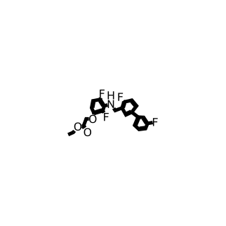 CCOC(=O)COc1ccc(F)c(NCc2cc(-c3cccc(F)c3)ccc2F)c1F